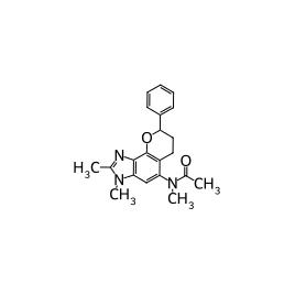 CC(=O)N(C)c1cc2c(nc(C)n2C)c2c1CCC(c1ccccc1)O2